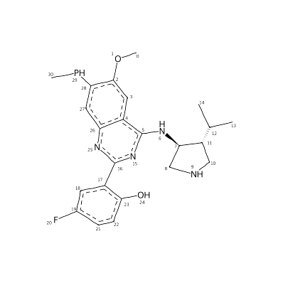 COc1cc2c(N[C@@H]3CNC[C@H]3C(C)C)nc(-c3cc(F)ccc3O)nc2cc1PC